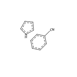 N#Cc1ccccc1.c1cc[nH]c1